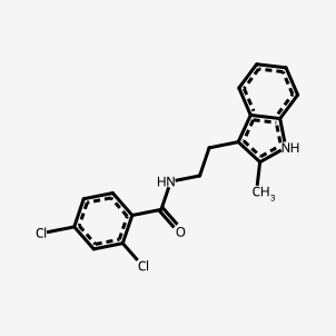 Cc1[nH]c2ccccc2c1CCNC(=O)c1ccc(Cl)cc1Cl